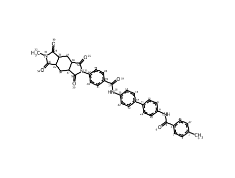 Cc1ccc(C(=O)Nc2ccc(-c3ccc(NC(=O)c4ccc(N5C(=O)C6CC7C(=O)N(C)C(=O)C7CC6C5=O)cc4)cc3)cc2)cc1